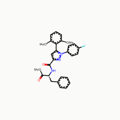 COC(=O)[C@H](Cc1ccccc1)NC(=O)c1cc(-c2c(OC)cccc2OC)n(-c2ccc(F)cc2)n1